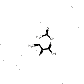 C=CC(=O)C(=O)O.CC(=O)O